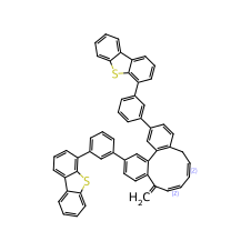 C=C1/C=C\C=C/Cc2ccc(-c3cccc(-c4cccc5c4sc4ccccc45)c3)cc2-c2cc(-c3cccc(-c4cccc5c4sc4ccccc45)c3)ccc21